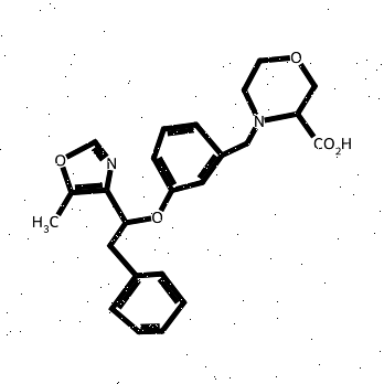 Cc1ocnc1C(Cc1ccccc1)Oc1cccc(CN2CCOCC2C(=O)O)c1